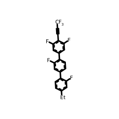 CCc1ccc(-c2ccc(-c3cc(F)c(C#CC(F)(F)F)c(F)c3)c(F)c2)c(F)c1